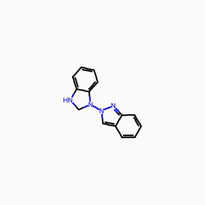 c1ccc2c(c1)NCN2n1cc2ccccc2n1